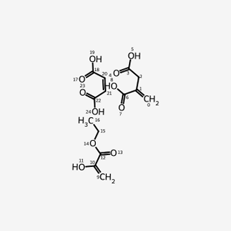 C=C(CC(=O)O)C(=O)O.C=C(O)C(=O)OCC.O=C(O)/C=C\C(=O)O